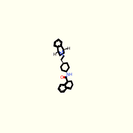 O=C(N[C@H]1CC[C@H](CCN2[C@@H]3CC[C@H]2c2ccccc23)CC1)C1=c2ccccc2=CCC1